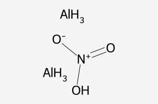 O=[N+]([O-])O.[AlH3].[AlH3]